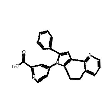 O=C(O)c1cc(-n2c(-c3ccccc3)cc3c2CCc2cccnc2-3)ccn1